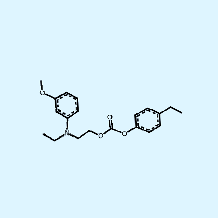 CCc1ccc(OC(=O)OCCN(CC)c2cccc(OC)c2)cc1